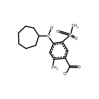 Cc1cc([S+]([O-])C2CCCCCC2)c(S(C)(=O)=O)cc1C(=O)Cl